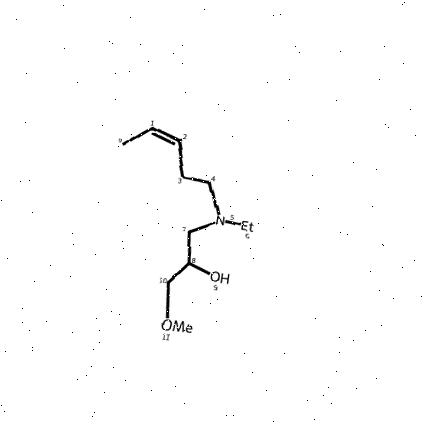 C/C=C\CCN(CC)CC(O)COC